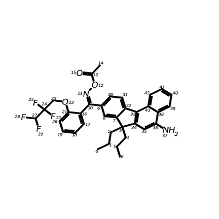 CCCC1(CCC)c2cc(/C(=N\OC(C)=O)c3ccccc3OCC(F)(F)C(F)F)ccc2-c2c1cc(N)c1ccccc21